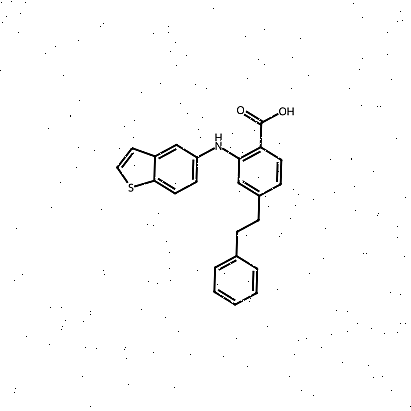 O=C(O)c1ccc(CCc2ccccc2)cc1Nc1ccc2sccc2c1